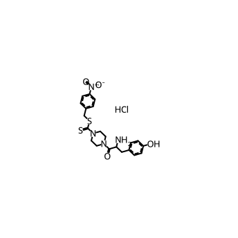 Cl.NC(Cc1ccc(O)cc1)C(=O)N1CCN(C(=S)SCc2ccc([N+](=O)[O-])cc2)CC1